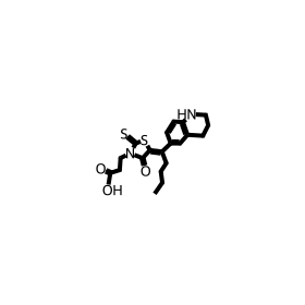 CCCC/C(=C1/SC(=S)N(CCC(=O)O)C1=O)c1ccc2c(c1)CCCN2